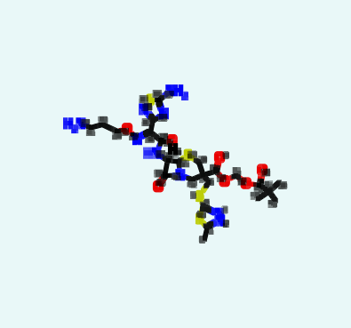 Cc1nnc(SCC2(C(=O)OCOC(=O)C(C)(C)C)CS[C@@H]3C(NC(=O)C(=NOCCCN)c4nsc(N)n4)C(=O)N3C2)s1